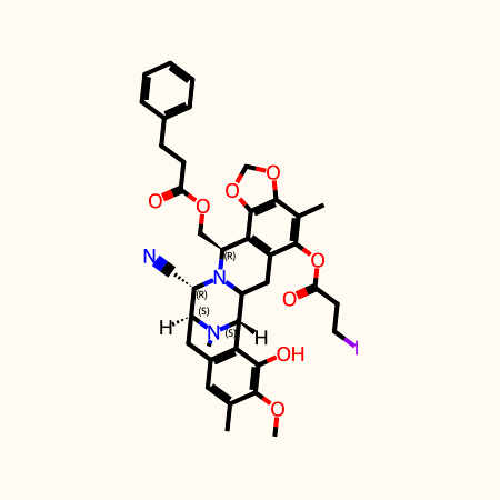 COc1c(C)cc2c(c1O)[C@H]1C3Cc4c(OC(=O)CCI)c(C)c5c(c4[C@H](COC(=O)CCc4ccccc4)N3[C@@H](C#N)[C@H](C2)N1C)OCO5